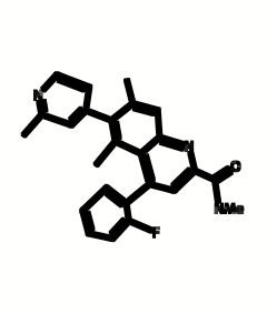 CNC(=O)c1cc(-c2ccccc2F)c2c(C)c(-c3ccnc(C)c3)c(C)cc2n1